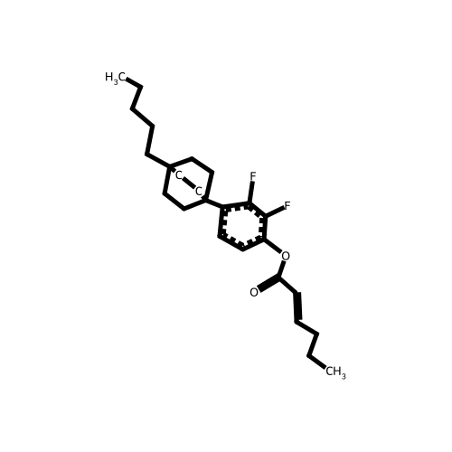 CCCC=CC(=O)Oc1ccc(C23CCC(CCCCC)(CC2)CC3)c(F)c1F